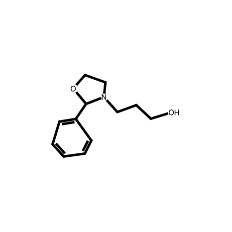 OCCCN1CCOC1c1ccccc1